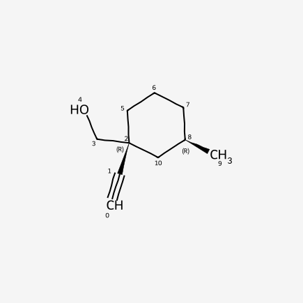 C#C[C@@]1(CO)CCC[C@@H](C)C1